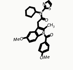 COc1ccc(C(=O)n2c(C)c(CC(=O)N(c3nccs3)C3CCCCC3)c3cc(OC)ccc32)cc1